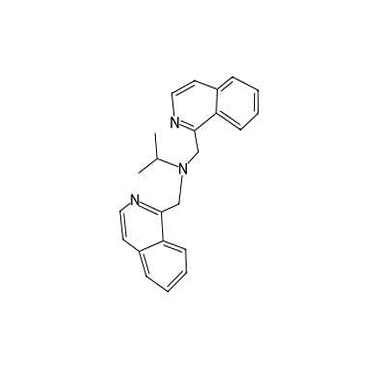 CC(C)N(Cc1nccc2ccccc12)Cc1nccc2ccccc12